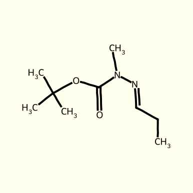 CC/C=N/N(C)C(=O)OC(C)(C)C